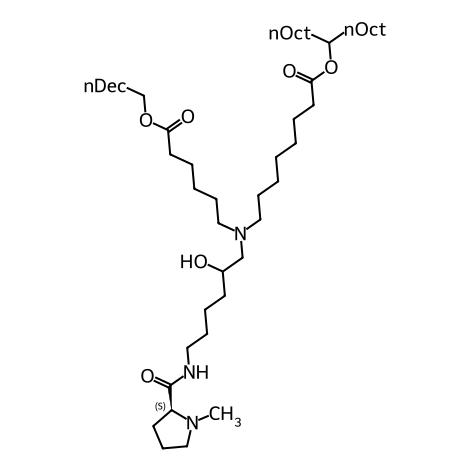 CCCCCCCCCCCOC(=O)CCCCCN(CCCCCCCC(=O)OC(CCCCCCCC)CCCCCCCC)CC(O)CCCCNC(=O)[C@@H]1CCCN1C